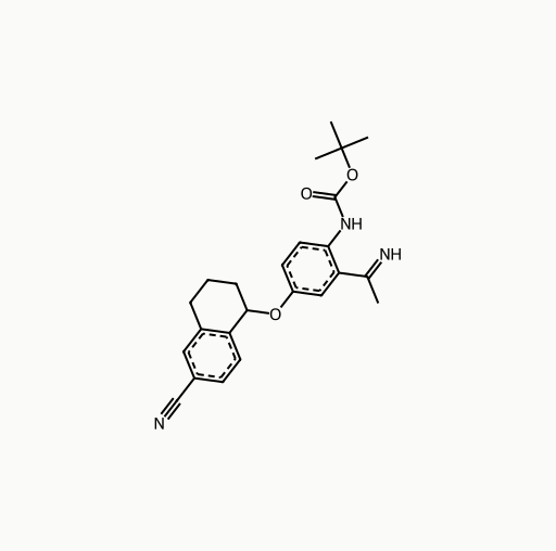 CC(=N)c1cc(OC2CCCc3cc(C#N)ccc32)ccc1NC(=O)OC(C)(C)C